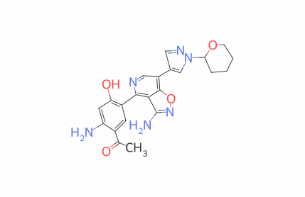 CC(=O)c1cc(-c2ncc(-c3cnn(C4CCCCO4)c3)c3onc(N)c23)c(O)cc1N